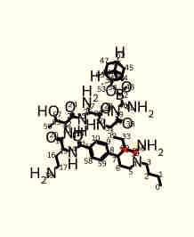 CCCCN1CCC(c2ccc(C(=O)N[C@@H](CCN)C(=O)N[C@H](C(=O)N[C@@H](N)C(=O)N[C@@H](CCCCN)C(=O)N[C@@H](N)B3OC4C[C@@H]5C[C@@H](C5(C)C)[C@]4(C)O3)[C@@H](C)O)cc2)CC1